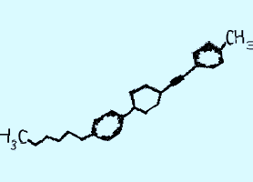 CCCCCCc1ccc(C2CCC(C#Cc3ccc(C)cc3)CC2)cc1